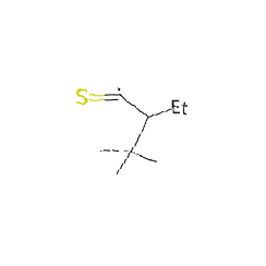 CCC([C]=S)C(C)(C)C